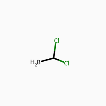 BC(Cl)Cl